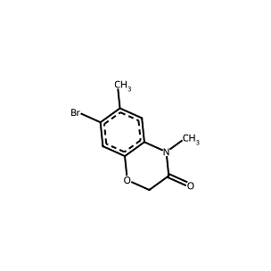 Cc1cc2c(cc1Br)OCC(=O)N2C